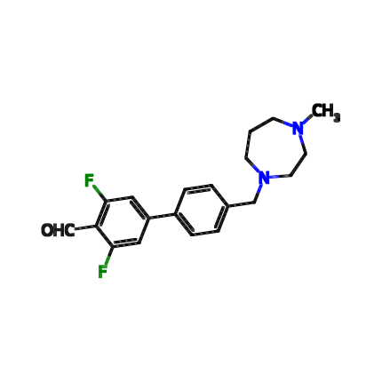 CN1CCCN(Cc2ccc(-c3cc(F)c(C=O)c(F)c3)cc2)CC1